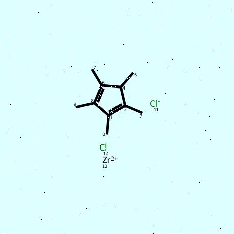 CC1=C(C)C(C)C(C)=C1C.[Cl-].[Cl-].[Zr+2]